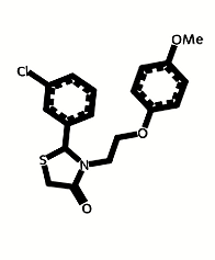 COc1ccc(OCCN2C(=O)CSC2c2cccc(Cl)c2)cc1